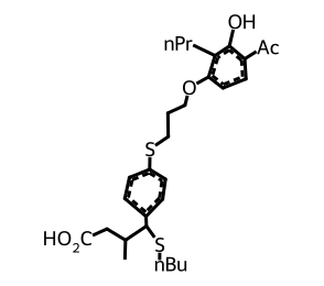 CCCCSC(c1ccc(SCCCOc2ccc(C(C)=O)c(O)c2CCC)cc1)C(C)CC(=O)O